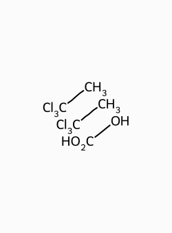 CC(Cl)(Cl)Cl.CC(Cl)(Cl)Cl.O=C(O)O